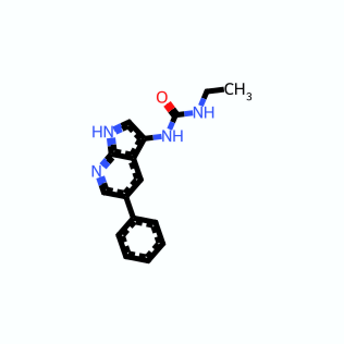 CCNC(=O)Nc1c[nH]c2ncc(-c3ccccc3)cc12